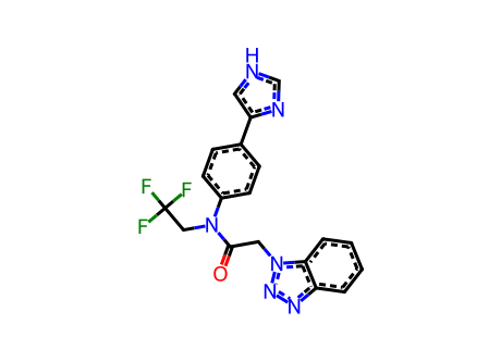 O=C(Cn1nnc2ccccc21)N(CC(F)(F)F)c1ccc(-c2c[nH]cn2)cc1